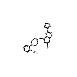 Cc1ccccc1N1CCN(Cc2cc(Cl)cc(Cl)c2OC(=O)c2ccco2)CC1